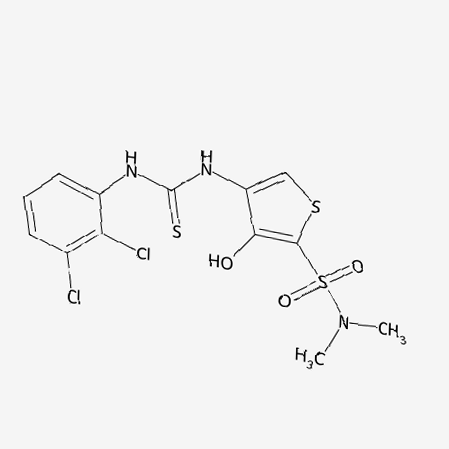 CN(C)S(=O)(=O)c1scc(NC(=S)Nc2cccc(Cl)c2Cl)c1O